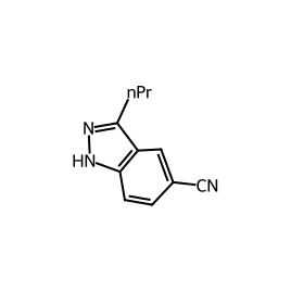 CCCc1n[nH]c2ccc(C#N)cc12